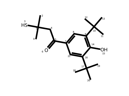 CC(C)(S)CC(=O)c1cc(C(C)(C)C)c(O)c(C(C)(C)C)c1